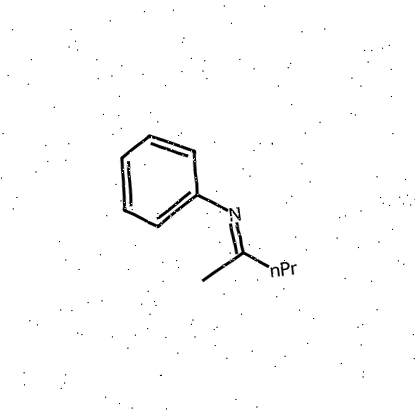 CCCC(C)=Nc1ccccc1